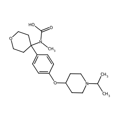 CC(C)N1CCC(Oc2ccc(C3(N(C)C(=O)O)CCOCC3)cc2)CC1